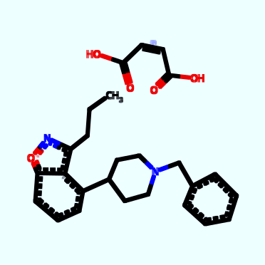 CCCc1noc2cccc(C3CCN(Cc4ccccc4)CC3)c12.O=C(O)/C=C\C(=O)O